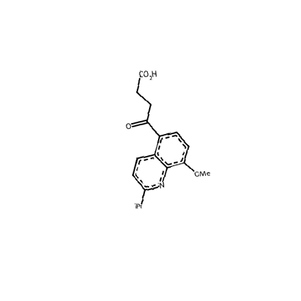 COc1ccc(C(=O)CCC(=O)O)c2ccc(C(C)C)nc12